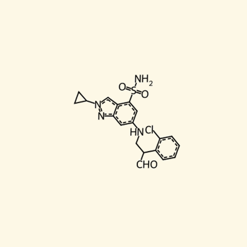 NS(=O)(=O)c1cc(NCC(C=O)c2ccccc2Cl)cc2nn(C3CC3)cc12